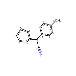 Cc1ccc(C(C#N)c2ccccc2)cc1